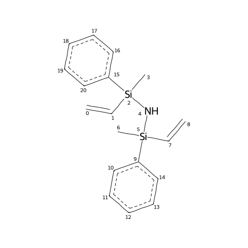 C=C[Si](C)(N[Si](C)(C=C)c1ccccc1)c1ccccc1